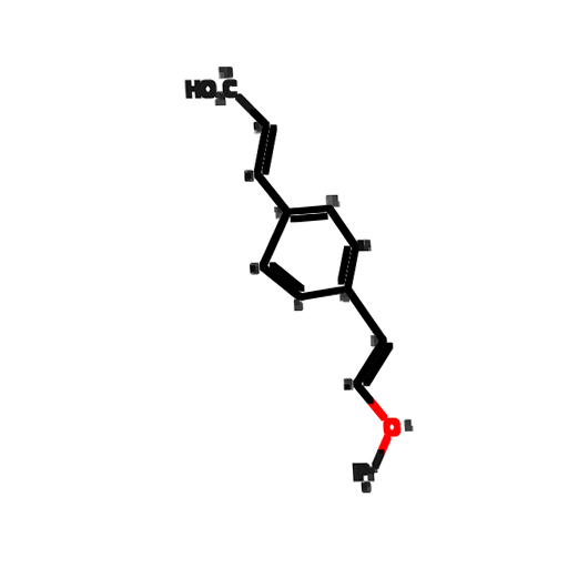 CC(C)OC=Cc1ccc(C=CC(=O)O)cc1